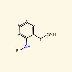 CCNc1ccccc1CC(=O)O